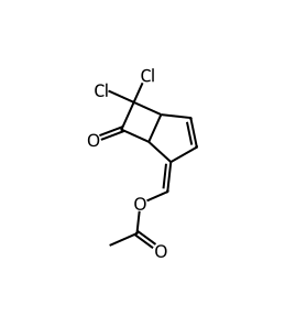 CC(=O)OC=C1C=CC2C1C(=O)C2(Cl)Cl